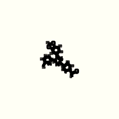 CC(=O)c1ccc(-c2nc(-c3cccc(C)n3)n(-c3ccc4c(c3)OCO4)n2)cc1